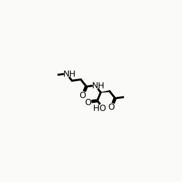 CNCCC(=O)N[C@@H](CC(C)=O)C(=O)O